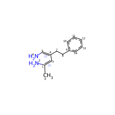 C/C(N)=C/C(=C\N)CCc1ccccc1